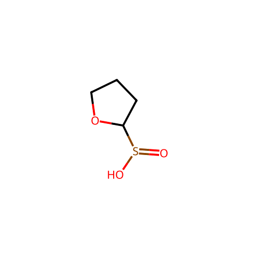 O=S(O)C1CCCO1